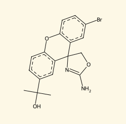 CC(C)(O)c1ccc2c(c1)C1(COC(N)=N1)c1cc(Br)ccc1O2